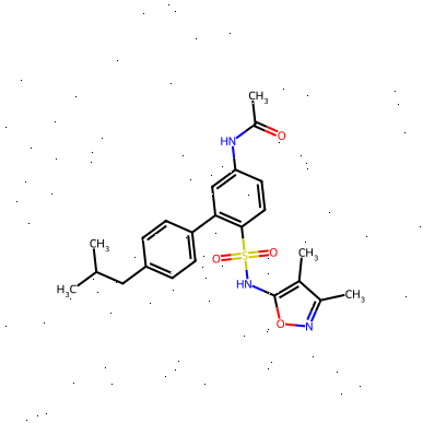 CC(=O)Nc1ccc(S(=O)(=O)Nc2onc(C)c2C)c(-c2ccc(CC(C)C)cc2)c1